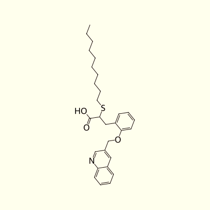 CCCCCCCCCCSC(Cc1ccccc1OCc1cnc2ccccc2c1)C(=O)O